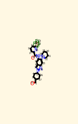 O=CC1CCC(n2cc3cc(NC(=O)c4cccc(S(F)(F)(F)(F)F)n4)c(N4CCCCC4)cc3n2)CC1